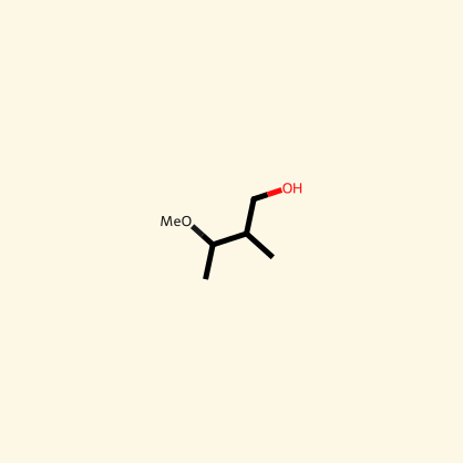 COC(C)C(C)CO